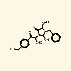 CCOC1C(=O)N(C(C=O)C(=O)c2ccc(CO)cc2)C(O)N1Cc1ccccc1